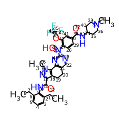 CCc1cccc(CC)c1NC(=O)c1nn(C)c2c1CCc1cnc(N(O)c3ccc(C(=O)NC4CCN(C)CC4)cc3OC(F)(F)F)nc1-2